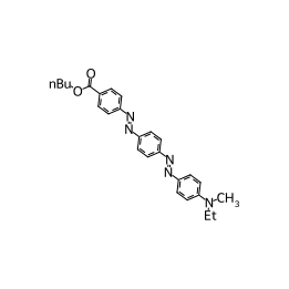 CCCCOC(=O)c1ccc(N=Nc2ccc(N=Nc3ccc(N(C)CC)cc3)cc2)cc1